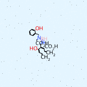 C=C/C=C(CN(BN(CC(=O)O)Cc1ccccc1O)CC(=O)O)\C(O)=C/C=C